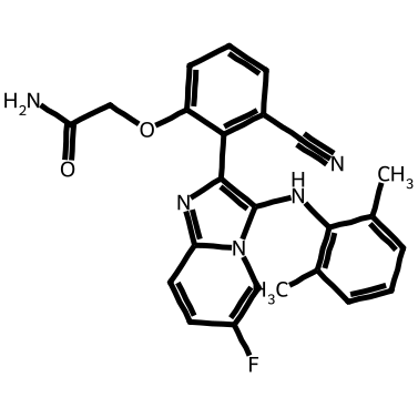 Cc1cccc(C)c1Nc1c(-c2c(C#N)cccc2OCC(N)=O)nc2ccc(F)cn12